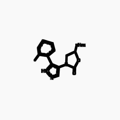 CCCCCCC1CN(c2cn[nH]c2-c2ccccc2C)C(=O)O1